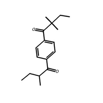 CCC(C)C(=O)c1ccc(C(=O)C(C)(C)CC)cc1